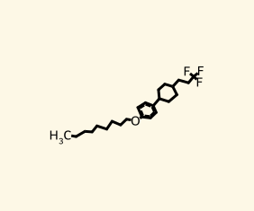 CCCCCCCCCOc1ccc(C2CCC(CCC(F)(F)F)CC2)cc1